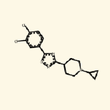 Clc1ccc(-c2nc(C3CCN(C4CC4)CC3)no2)cc1Cl